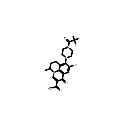 CC1CCc2c(N3CCN(C(=O)C(F)(F)F)CC3)c(Br)cc3c(=O)c(C(=O)O)cn1c23